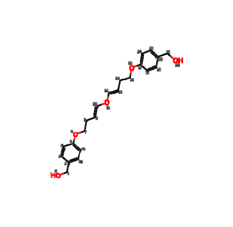 OCc1ccc(OCCC=COC=CCCOc2ccc(CO)cc2)cc1